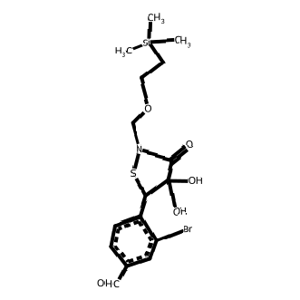 C[Si](C)(C)CCOCN1SC(c2ccc(C=O)cc2Br)C(O)(O)C1=O